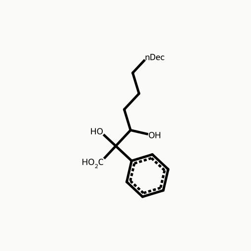 CCCCCCCCCCCCCC(O)C(O)(C(=O)O)c1ccccc1